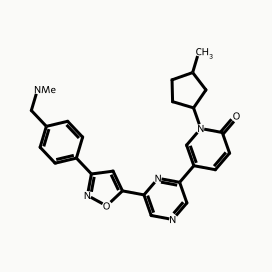 CNCc1ccc(-c2cc(-c3cncc(-c4ccc(=O)n(C5CCC(C)C5)c4)n3)on2)cc1